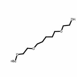 CCCCOCCOCCCCCOCCO